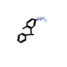 Cc1ccc(N)cc1C(C)c1ccccc1